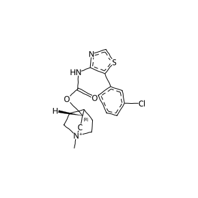 C[N+]12CCC(CC1)[C@@H](OC(=O)Nc1ncsc1-c1cccc(Cl)c1)C2